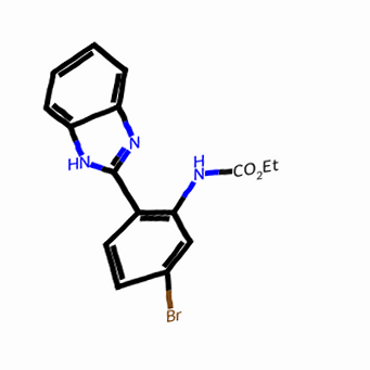 CCOC(=O)Nc1cc(Br)ccc1-c1nc2ccccc2[nH]1